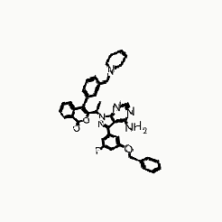 CC(c1oc(=O)c2ccccc2c1-c1cccc(CN2CCCCC2)c1)n1nc(-c2cc(F)cc(OCc3ccccc3)c2)c2c(N)ncnc21